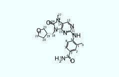 Cc1cc(C(N)=O)ccc1Nc1ncc2c(n1)n(C[C@@H]1CCOC1)c(=O)n2C